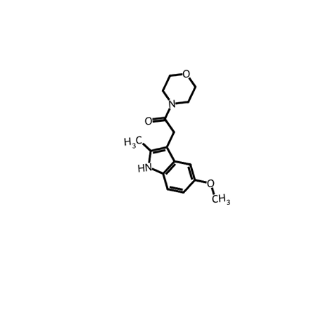 COc1ccc2[nH]c(C)c(CC(=O)N3CCOCC3)c2c1